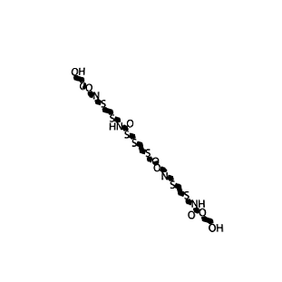 O=C(NCSCCSC/N=C/OOCSCCSCSC(=O)NCSCCSC/N=C/OOCCO)OCCO